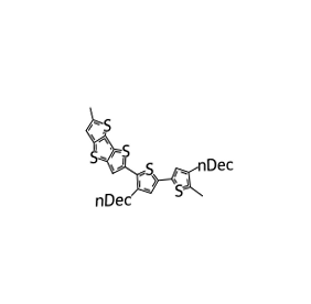 CCCCCCCCCCc1cc(-c2cc(CCCCCCCCCC)c(-c3cc4sc5cc(C)sc5c4s3)s2)sc1C